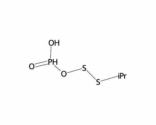 CC(C)SSO[PH](=O)O